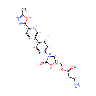 Cc1nnc(-c2ccc(-c3ccc(N4C[C@H](COC(=O)CCN)OC4=O)cc3F)cn2)o1